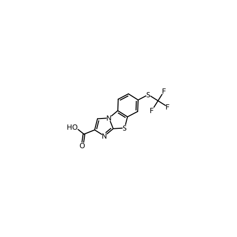 O=C(O)c1cn2c(n1)sc1cc(SC(F)(F)F)ccc12